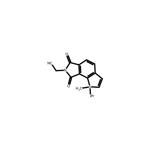 CC(C)S1(C)C=Cc2ccc3c(c21)C(=O)N(CC#N)C3=O